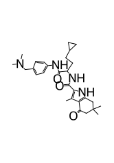 Cc1c(C(=O)NC(CCC2CC2)C(=O)Nc2ccc(CN(C)C)cc2)[nH]c2c1C(=O)CC(C)(C)C2